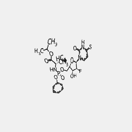 C#C[C@]1(COP(=O)(N[C@@H](C)C(=O)OC(C)C)Oc2ccccc2)O[C@@H](n2ccc(=S)[nH]c2=O)[C@@H](F)[C@H]1O